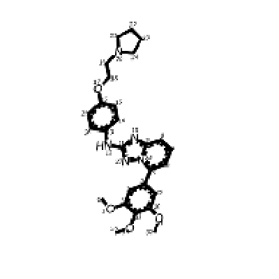 COc1cc(-c2cccc3nc(Nc4ccc(OCCN5CCCC5)cc4)nn23)cc(OC)c1OC